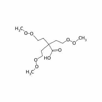 COOCCC(CCOOC)(CCOOC)C(=O)O